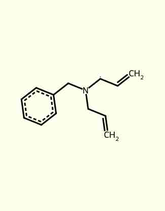 C=C[CH]N(CC=C)Cc1ccccc1